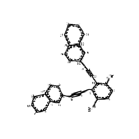 Brc1ccc(Br)c(C#Cc2ccc3ccccc3c2)c1C#Cc1ccc2ccccc2c1